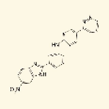 O=[N+]([O-])c1ccc2nc(-c3cccc(Nc4ccc(-c5cccnn5)cc4)c3)[nH]c2c1